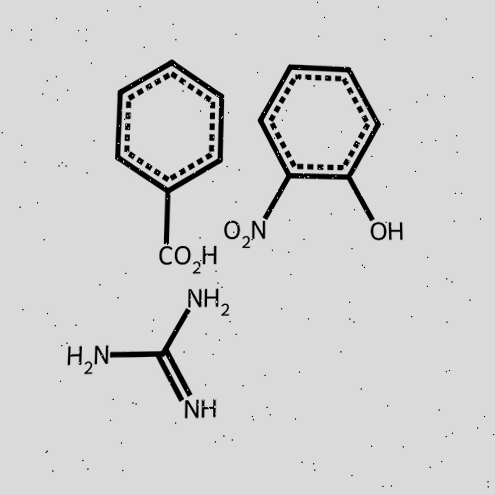 N=C(N)N.O=C(O)c1ccccc1.O=[N+]([O-])c1ccccc1O